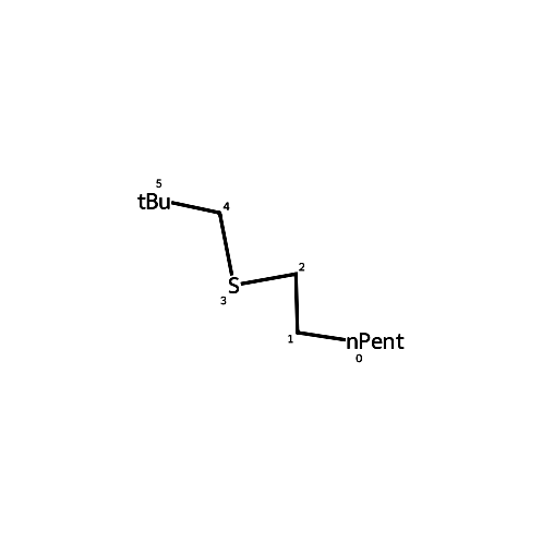 CCCCCCCSCC(C)(C)C